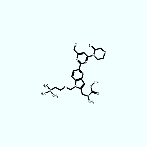 CCC1COCCN1c1cc(CCl)nc(-c2ccc3c(cc(CN(C)C(=O)OC(C)(C)C)n3COCC[Si](C)(C)C)n2)n1